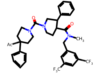 CC(=O)C1(c2ccccc2)CCN(C(=O)N2CCC(C(=O)N(C)Cc3cc(C(F)(F)F)cc(C(F)(F)F)c3)C(c3ccccc3)C2)CC1